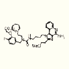 CCOC(=O)COc1cc(CN(CCN2CCCCC2)C(=O)NCCCCn2c(CCOC)nc3c(N)nc4ccccc4c32)ccc1F